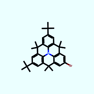 CC(C)(C)c1cc2c3c(c1)C(C)(C)c1cc(C(C)(C)C)cc4c1N3c1c(cc(Br)cc1C4(C)C)C2(C)C